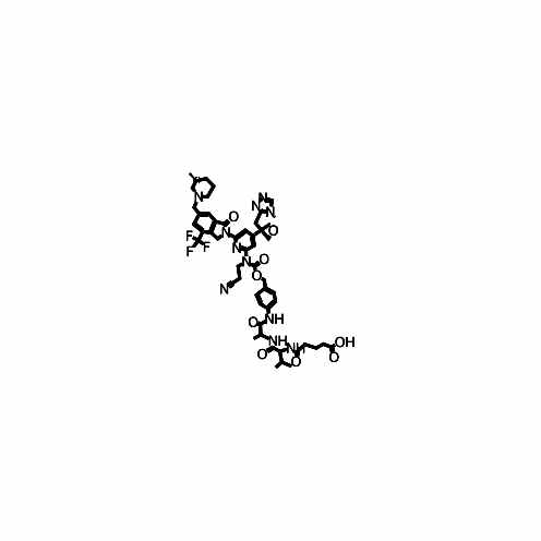 CC(NC(=O)C(NC(=O)CCCC(=O)O)C(C)C)C(=O)Nc1ccc(COC(=O)N(CCC#N)c2cc(C3(Cc4nncn4C)COC3)cc(N3Cc4c(cc(CN5CCC[C@H](C)C5)cc4C(F)(F)F)C3=O)n2)cc1